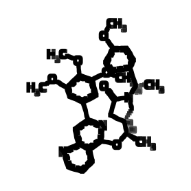 COc1ccc([C@H](C)N2C[C@H]([C@@H](C)Oc3nc(-c4cc(OC)c(OC)c(OC)c4)cc4ncccc34)CC2=O)cc1